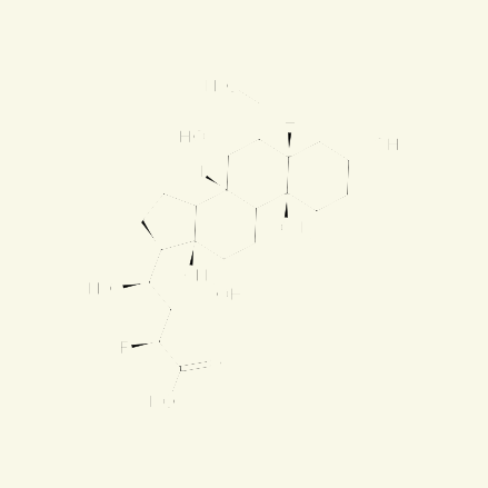 CC[C@H]1[C@@H](O)[C@H]2C3CC[C@H]([C@H](C)C[C@H](F)C(=O)O)[C@@]3(C)[C@@H](O)CC2[C@@]2(C)CC[C@@H](O)C[C@@H]12